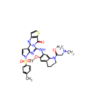 CCOc1cc2c(cc1Nc1nc3c(ccn3S(=O)(=O)c3ccc(C)cc3)c3nc4ccsc4c(=O)n13)N(C(=O)CN(C)C)CCC2